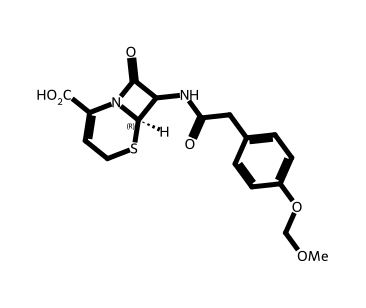 COCOc1ccc(CC(=O)NC2C(=O)N3C(C(=O)O)=CCS[C@H]23)cc1